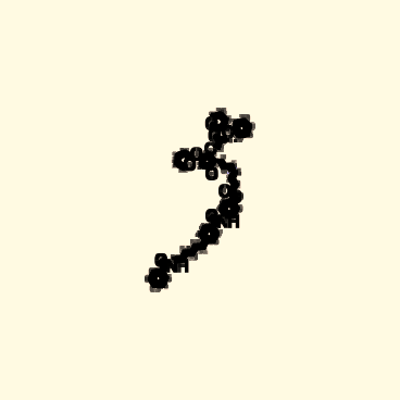 O=C(CC/C=C\CC[C@H]1C(=O)C[C@@H](OC2CCCCO2)[C@@H]1OCC(COc1ccccc1)OC1CCCCO1)Oc1ccc(NC(=O)c2ccc(CCCCCCNC(=O)c3ccccc3)cc2)cc1